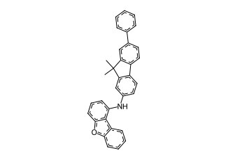 CC1(C)c2cc(Nc3cccc4oc5ccccc5c34)ccc2-c2ccc(-c3ccccc3)cc21